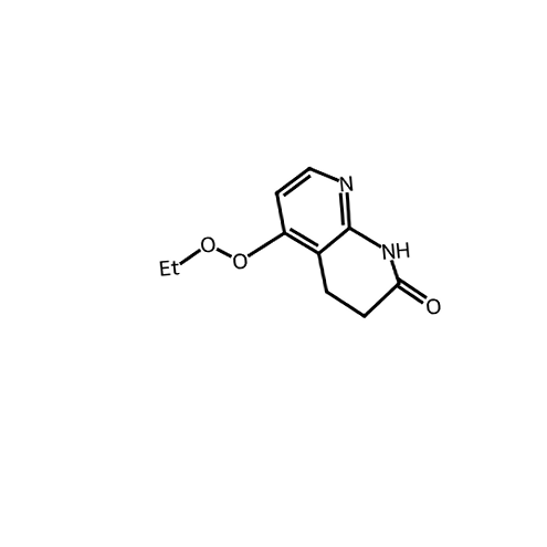 CCOOc1ccnc2c1CCC(=O)N2